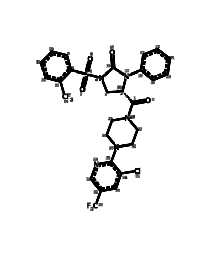 O=C([C@@H]1CN(S(=O)(=O)c2ccccc2C(F)(F)F)C(=O)N1c1ccccc1)N1CCN(c2ncc(C(F)(F)F)cc2Cl)CC1